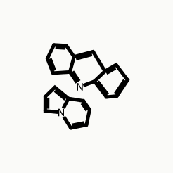 c1ccc2nc3ccccc3cc2c1.c1ccn2cccc2c1